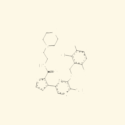 Nc1ncc(-c2ccsc2C(=O)NCCN2CCOCC2)nc1OCc1c(F)ccc(F)c1Cl